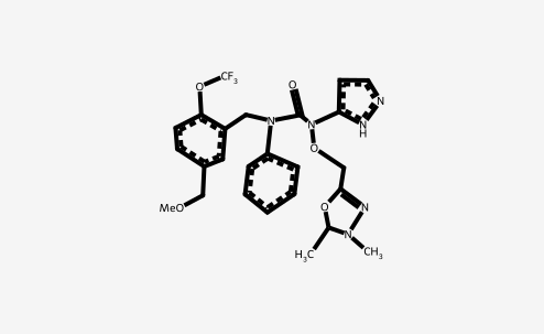 COCc1ccc(OC(F)(F)F)c(CN(C(=O)N(OCC2=NN(C)C(C)O2)c2ccn[nH]2)c2ccccc2)c1